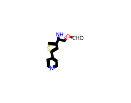 NC(COC=O)c1csc(-c2ccncc2)c1